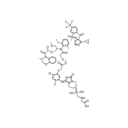 CC1COc2ccccc2N1C(=O)C(Cl)Cl.CCc1cccc(C)c1N(C(=O)CCl)C(C)COC.COC(=O)CSc1cc(/N=c2\sc(=O)n3n2CCCC3)c(F)cc1Cl.CS(=O)(=O)c1cc(C(F)(F)F)ccc1C(=O)c1cnoc1C1CC1.O=C(O)CNCP(=O)(O)O